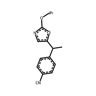 [C-]#[N+]c1ccc(C(C)c2cnc(OC(C)C)s2)cc1